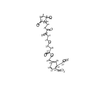 O=C(CCN1C(=O)C=CC1=O)NCCOCCC(=O)OCc1ccc([N+](=O)[O-])c(CO)c1